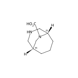 O=C(O)N1C[C@@H]2CCC[C@H]1CNC2